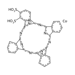 O=S(=O)(O)c1ccc2c3nc4nc(nc5[nH]c(nc6nc(nc([nH]3)c2c1S(=O)(=O)O)-c1ccccc1-6)c1ccccc51)-c1ccccc1-4.[Co]